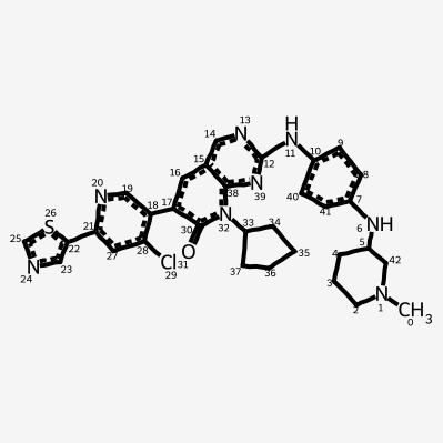 CN1CCCC(Nc2ccc(Nc3ncc4cc(-c5cnc(-c6cncs6)cc5Cl)c(=O)n(C5CCCC5)c4n3)cc2)C1